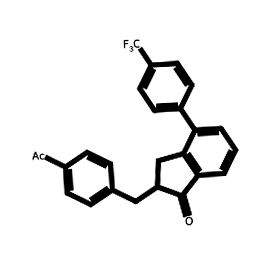 CC(=O)c1ccc(CC2Cc3c(cccc3-c3ccc(C(F)(F)F)cc3)C2=O)cc1